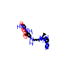 CN1CCN(c2ccc3ncc(-c4cn(CCCCCCNc5ccc(C(=O)NC6CCC(=O)NC6=O)c(C=O)c5)nc4C4CC4)nc3c2)CC1